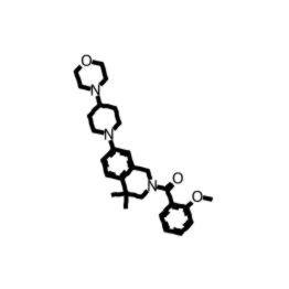 COc1ccccc1C(=O)N1Cc2cc(N3CCC(N4CCOCC4)CC3)ccc2C(C)(C)C1